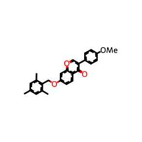 COc1ccc(-c2coc3cc(OCc4c(C)cc(C)cc4C)ccc3c2=O)cc1